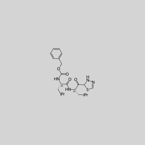 CC(C)C[C@H](NC(=O)OCc1ccccc1)C(=O)N[C@@H](CC(C)C)C(=O)C1NN=CS1